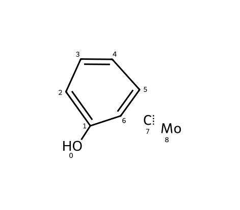 Oc1ccccc1.[C].[Mo]